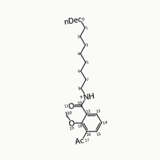 CCCCCCCCCCCCCCCCCCNC(=O)c1cccc(C(C)=O)c1OI